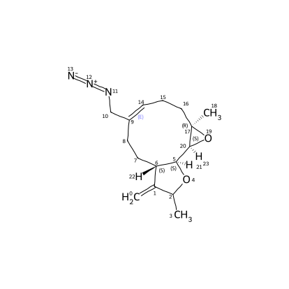 C=C1C(C)O[C@H]2[C@H]1CC/C(CN=[N+]=[N-])=C\CC[C@@]1(C)O[C@@H]21